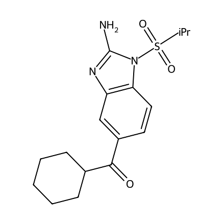 CC(C)S(=O)(=O)n1c(N)nc2cc(C(=O)C3CCCCC3)ccc21